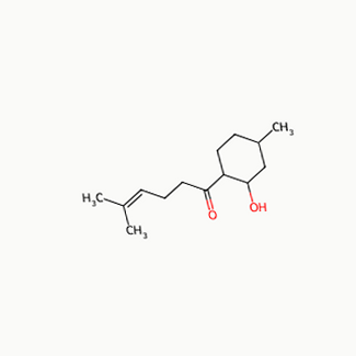 CC(C)=CCCC(=O)C1CCC(C)CC1O